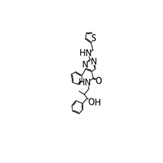 CC(CNC(=O)c1cnc(NCc2cccs2)nc1-c1ccccc1)C(O)c1ccccc1